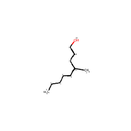 CCCCCC(C)CCCO